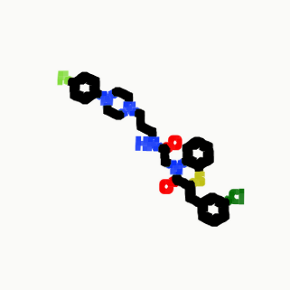 O=C(CN1C(=O)C(=Cc2cccc(Cl)c2)Sc2ccccc21)NCCCN1CCN(c2ccc(F)cc2)CC1